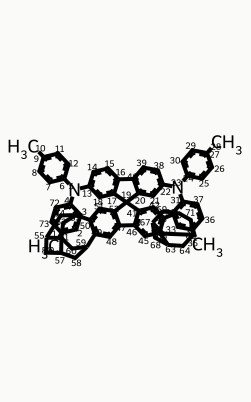 Cc1ccc(N(c2ccc(C)cc2)c2ccc3c(c2)C2(c4cc(N(c5ccc(C)cc5)c5ccc(C)cc5)ccc4-3)c3cc4c(cc3-c3cc5c(cc32)C2CC3CC6CC5CC63C2)C2CC3CC(C2)CC4C3)cc1